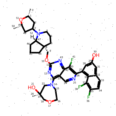 C[C@@H]1CC(N2CCC[C@@]3(COc4nc(N5CCOC[C@@](C)(O)C5)c5cnc(-c6cc(O)cc7ccc(F)c(F)c67)c(F)c5n4)CCC[C@@H]23)C[C@H](C)O1